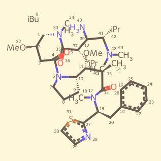 CC[C@H](C)[C@@H]([C@@H](CC(=O)N1CCC[C@H]1[C@H](OC)[C@@H](C)C(=O)N(C)[C@@H](Cc1ccccc1)c1nccs1)OC)N(C)C(=O)[C@@H](C(C)C)C(N)[C@H](C(C)C)N(C)C